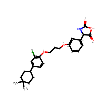 CC1(C)CCC(c2ccc(OCCCOc3cccc(C4NC(=O)OC4=O)c3)c(Cl)c2)CC1